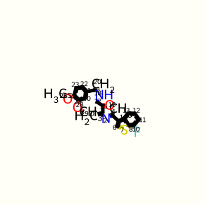 C=C(/N=C(\C)c1csc2c(F)cccc12)C(=O)CNC(=C)c1ccc(OC)c(OC)c1